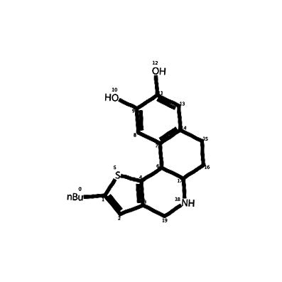 CCCCc1cc2c(s1)C1c3cc(O)c(O)cc3CCC1NC2